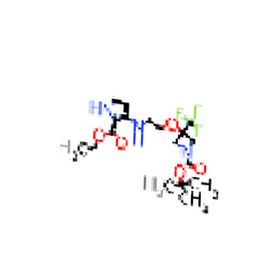 CCOC(=O)c1[nH]ccc1NCCOC1(C(F)(F)F)CN(C(=O)OC(C)(C)C)C1